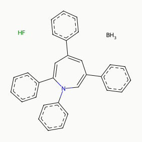 B.C1=C(c2ccccc2)C=C(c2ccccc2)N(c2ccccc2)C=C1c1ccccc1.F